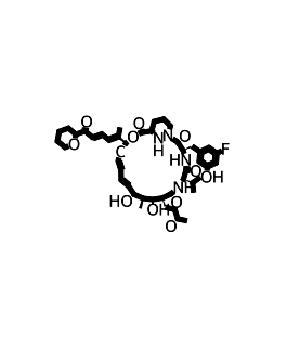 CC(=O)CC[C@H]1C(=O)N[C@@H](C(C)C)C(=O)N[C@@H](Cc2cc(O)cc(F)c2)C(=O)N2CCCC(N2)C(=O)O[C@H](/C(C)=C/C=C/C(=O)C2CCCCO2)C/C=C/C=C/[C@H](O)[C@H](C)[C@H]1O